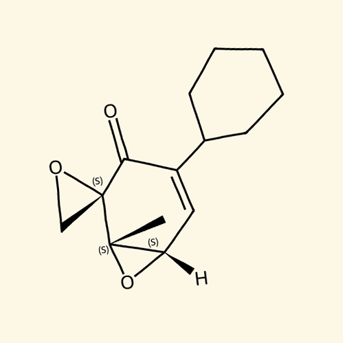 C[C@]12O[C@H]1C=C(C1CCCCC1)C(=O)[C@]21CO1